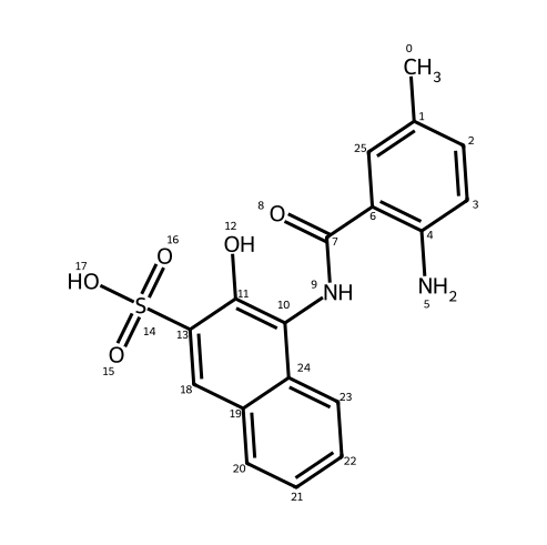 Cc1ccc(N)c(C(=O)Nc2c(O)c(S(=O)(=O)O)cc3ccccc23)c1